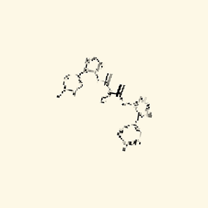 Cc1ccc(-n2ncnc2CNC(=O)NCc2ncnn2-c2ccc(C)nc2)cn1